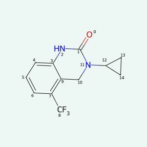 O=C1Nc2cccc(C(F)(F)F)c2CN1C1CC1